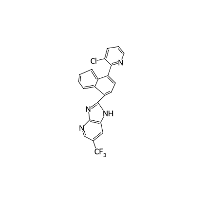 FC(F)(F)c1cnc2nc(-c3ccc(-c4ncccc4Cl)c4ccccc34)[nH]c2c1